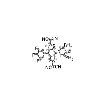 N#CC(C#N)=c1cc2c(-c3cc(P)c(F)c(P)c3)c3sc(=C(C#N)C#N)cc3c(-c3cc(F)c(F)c(F)c3)c2s1